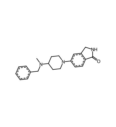 CN(Cc1ccccc1)C1CCN(c2ccc3c(c2)CNC3=O)CC1